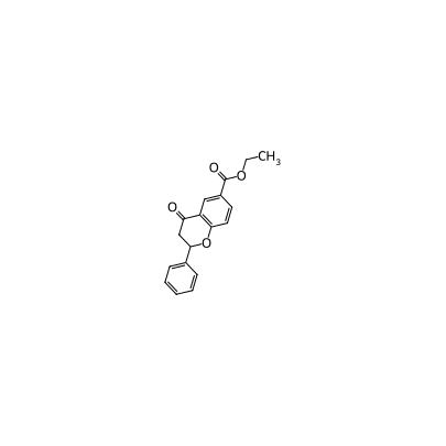 CCOC(=O)c1ccc2c(c1)C(=O)CC(c1ccccc1)O2